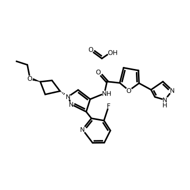 CCO[C@H]1C[C@H](n2cc(NC(=O)c3ccc(-c4cn[nH]c4)o3)c(-c3ncccc3F)n2)C1.O=CO